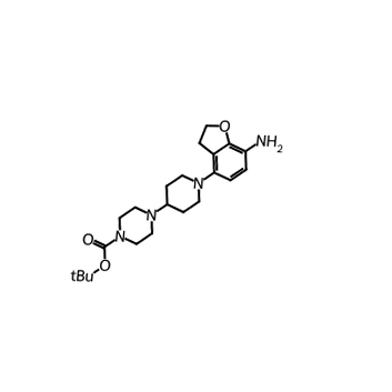 CC(C)(C)OC(=O)N1CCN(C2CCN(c3ccc(N)c4c3CCO4)CC2)CC1